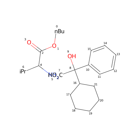 CCCCOC(=O)C(N)C(C)C.O=C(O)C(O)(c1ccccc1)C1CCCCC1